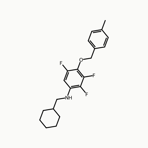 Cc1ccc(COc2c(F)cc(NCC3CCCCC3)c(F)c2F)cc1